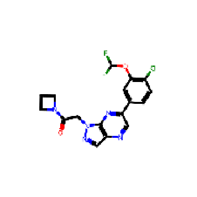 O=C(Cn1ncc2ncc(-c3ccc(Cl)c(OC(F)F)c3)nc21)N1CCC1